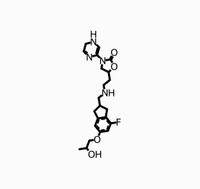 CC(O)COc1cc(F)c2c(c1)CC(CNCCC1CN(C3=CNCC=N3)C(=O)O1)C2